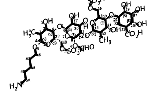 CC1C(O)[C@H](O[C@@H]2O[C@@H](OC=O)[C@@H](O[C@H]3OC(COS(=O)(=O)O)[C@@H](OC4CC(C(=O)O)[C@@H](O)[C@H](O)[C@@H]4O)[C@H](O)C3C)C(O)C2O)[C@H](COS(=O)(=O)O)O[C@@H]1OCCCCCN